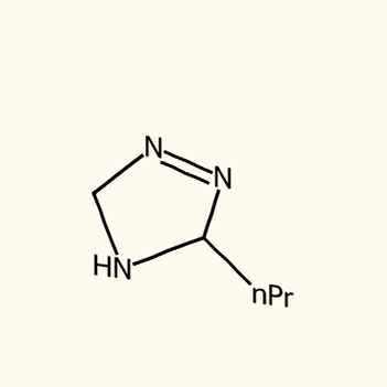 CCCC1N=NCN1